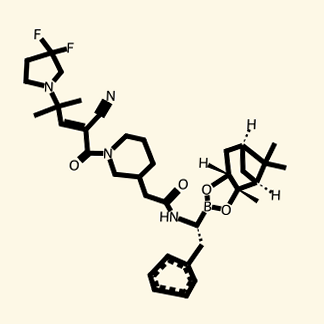 CC1(C)[C@@H]2C[C@H]3OB([C@H](Cc4ccccc4)NC(=O)CC4CCCN(C(=O)C(C#N)=CC(C)(C)N5CCC(F)(F)C5)C4)O[C@@]3(C)[C@H]1C2